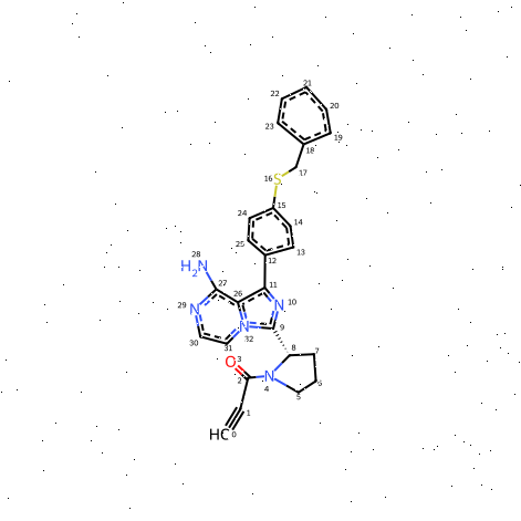 C#CC(=O)N1CCC[C@H]1c1nc(-c2ccc(SCc3ccccc3)cc2)c2c(N)nccn12